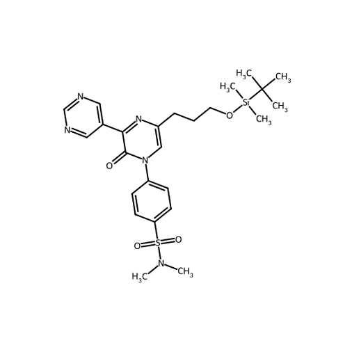 CN(C)S(=O)(=O)c1ccc(-n2cc(CCCO[Si](C)(C)C(C)(C)C)nc(-c3cncnc3)c2=O)cc1